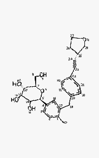 Cc1ccc([C@@H]2O[C@H](CO)[C@@H](O)[C@H](O)C2O)cc1Cc1ccc(C#C[C@@H]2CCOC2)cc1